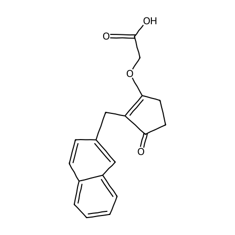 O=C(O)COC1=C(Cc2ccc3ccccc3c2)C(=O)CC1